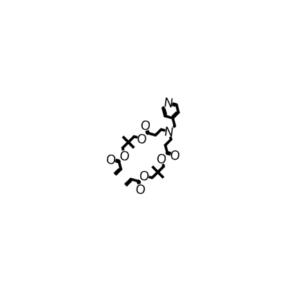 C=CC(=O)OCC(C)(C)COC(=O)CCN(CCC(=O)OCC(C)(C)COC(=O)C=C)Cc1ccncc1